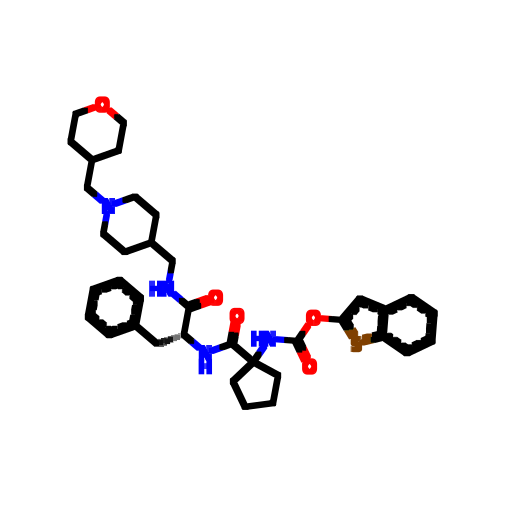 O=C(NC1(C(=O)N[C@H](Cc2ccccc2)C(=O)NCC2CCN(CC3CCOCC3)CC2)CCCC1)Oc1cc2ccccc2s1